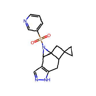 O=S(=O)(c1cccnc1)N1C2c3cn[nH]c3CC3C4(CC4)CC231